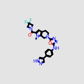 Cn1c(C(=O)N2CC(F)(F)C2)cc2c1CN(c1nnc(Nc3ccc(-c4cn[nH]c4)cc3)o1)CC2